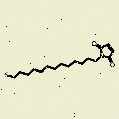 O=C1C=CC(=O)N1CCCCCCCCCCCCC[S]